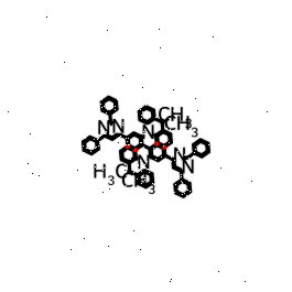 CC1(C)c2ccccc2N(c2cc(-c3cc(-c4ccccc4)nc(-c4ccccc4)n3)ccc2-c2ccc(-c3cc(-c4ccccc4)nc(-c4ccccc4)n3)cc2N2c3ccccc3C(C)(C)c3ccccc32)c2ccccc21